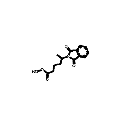 CC(CCCC(=O)OO)N1C(=O)c2ccccc2C1=O